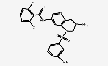 Cc1cccc(S(=O)(=O)N2CC(N)Cc3ncc(NC(=O)c4c(Cl)cccc4Cl)cc32)c1